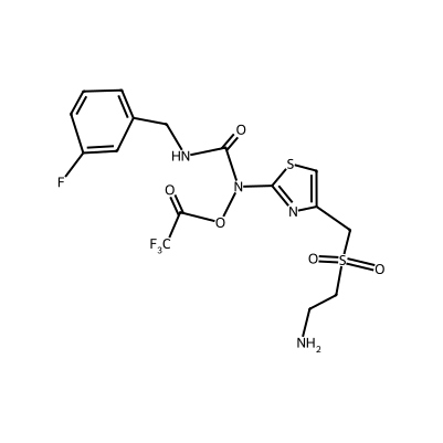 NCCS(=O)(=O)Cc1csc(N(OC(=O)C(F)(F)F)C(=O)NCc2cccc(F)c2)n1